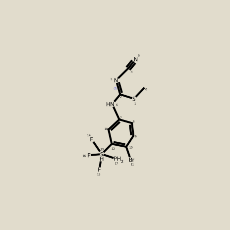 CS/C(=N\C#N)Nc1ccc(Br)c([SH](F)(F)(F)P)c1